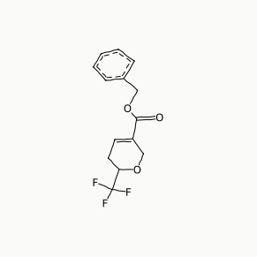 O=C(OCc1ccccc1)C1=CCC(C(F)(F)F)OC1